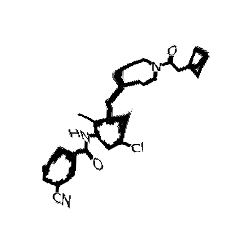 Cc1c(C=C2CCN(C(=O)CC34CC(C3)C4)CC2)cc(Cl)cc1NC(=O)c1cccc(C#N)c1